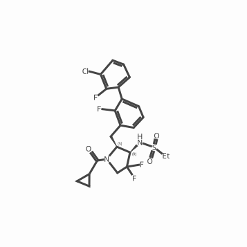 CCS(=O)(=O)N[C@@H]1[C@H](Cc2cccc(-c3cccc(Cl)c3F)c2F)N(C(=O)C2CC2)CC1(F)F